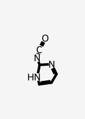 O=C=NC1N=CC=CN1